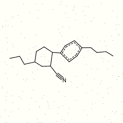 CCCCc1ccc(C2CCC(CCC)CC2C#N)cc1